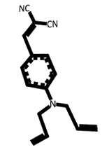 C=CCN(CC=C)c1ccc(C=C(C#N)C#N)cc1